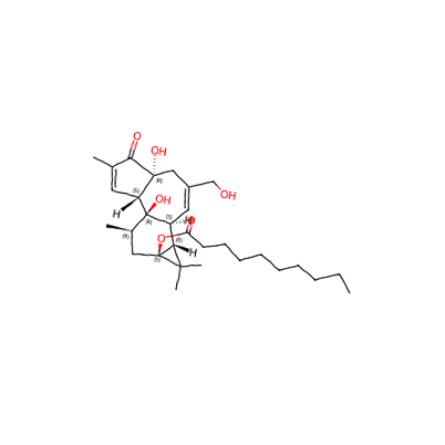 CCCCCCCCCC(=O)O[C@@]12C[C@@H](C)[C@@]3(O)[C@@H](C=C(CO)C[C@]4(O)C(=O)C(C)=C[C@@H]34)[C@@H]1C2(C)C